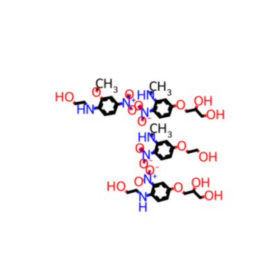 CNc1cc(OCC(O)CO)ccc1[N+](=O)[O-].CNc1cc(OCCO)ccc1[N+](=O)[O-].COc1cc([N+](=O)[O-])ccc1NCCO.O=[N+]([O-])c1cc(OCC(O)CO)ccc1NCCO